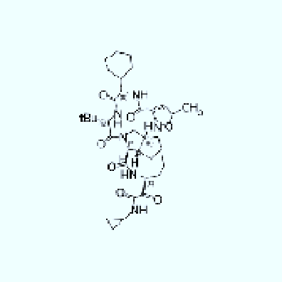 Cc1cc(C(=O)N[C@H](C(=O)N[C@H](C(=O)N2C[C@@H]3CC4CC[C@@H](C(=O)C(=O)NC5CC5)NC(=O)[C@@H]2[C@H]3C4)C(C)(C)C)C2CCCCC2)no1